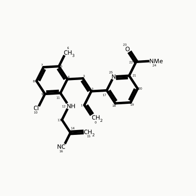 C=C/C(=C\c1c(C)ccc(Cl)c1NCC(=C)C#N)c1cccc(C(=O)NC)n1